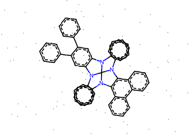 c1ccc(-c2cc3c(cc2-c2ccccc2)N(c2ccccc2)C2(N3c3ccccc3)N(c3ccccc3)c3c(c4ccccc4c4ccccc34)N2c2ccccc2)cc1